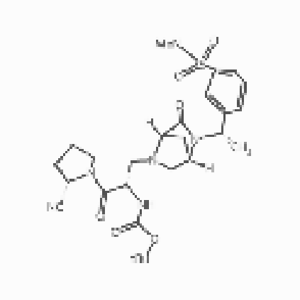 CNS(=O)(=O)c1cccc([C@H](C)N2C(=O)[C@@H]3C[C@H]2CN3C[C@H](NC(=O)OC(C)(C)C)C(=O)N2CCC[C@H]2C#N)c1